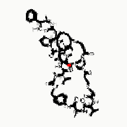 CC[C@H](C)[C@@H]([C@@H](CC(=O)N1CCC[C@H]1[C@H](OC)[C@@H](C)C(=O)N[C@H](C)[C@@H](O)c1ccccc1)OC)N(C)C(=O)[C@H](C)NC(=O)[C@H](C(C)C)N(C)C(=O)OCc1ccc(NC(=O)[C@H](C)NC(=O)[C@@H](NC(=O)CSCCC(=O)N2CN3CN(C2)C(=O)CCSC2CCCCCC(CCCC3=O)CCC2)C(C)C)cc1